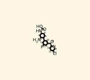 Nc1cc(NC(=O)O)ccc1-c1cc(F)cc(C(=O)c2ccc(Cl)cn2)c1